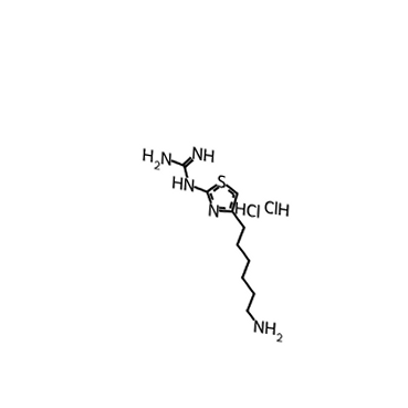 Cl.Cl.N=C(N)Nc1nc(CCCCCCN)cs1